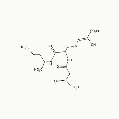 CCOC(=O)C(O)=CSCC(NC(=O)CC(N)C(=O)O)C(=O)NC(CCC(=O)O)C(=O)O